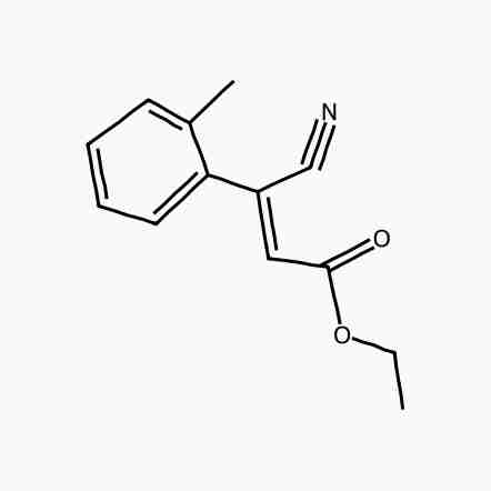 CCOC(=O)C=C(C#N)c1ccccc1C